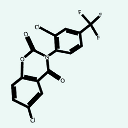 O=c1oc2ccc(Cl)cc2c(=O)n1-c1ccc(C(F)(F)F)cc1Cl